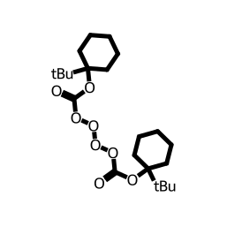 CC(C)(C)C1(OC(=O)OOOOC(=O)OC2(C(C)(C)C)CCCCC2)CCCCC1